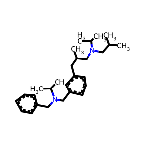 CC(C)CN(CC(C)Cc1cccc(CN(Cc2ccccc2)C(C)C)c1)C(C)C